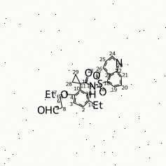 CCc1ccc(O[C@@H](CC)CC=O)c(C2(C(=O)NS(=O)(=O)c3cccc4ncccc34)CC2)c1